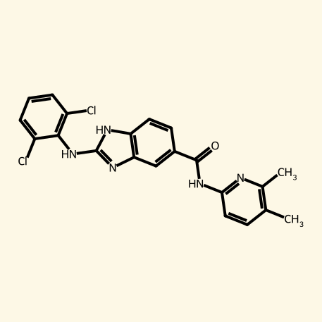 Cc1ccc(NC(=O)c2ccc3[nH]c(Nc4c(Cl)cccc4Cl)nc3c2)nc1C